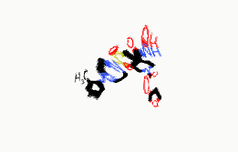 Cc1ccccc1N1CCN(S(=O)(=O)CC2(C(=O)NO)CCN(C(=O)OC3CCOC3)CC2)CC1